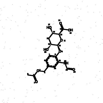 CC(=O)OCc1ccc(O[C@@H]2O[C@H](C(=O)O)[C@@H](O)C[C@H]2O)c(NC=O)c1